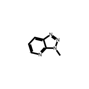 Cn1nnc2cc[c]nc21